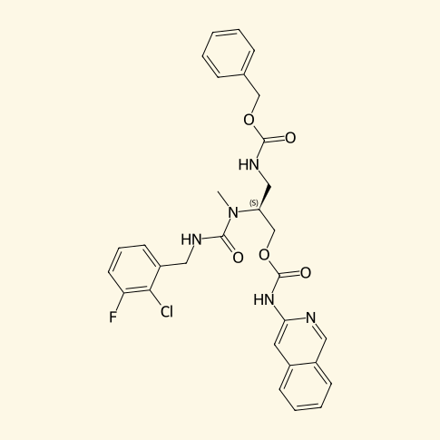 CN(C(=O)NCc1cccc(F)c1Cl)[C@@H](CNC(=O)OCc1ccccc1)COC(=O)Nc1cc2ccccc2cn1